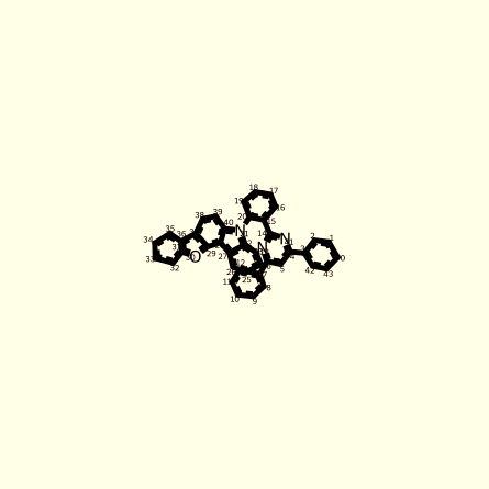 c1ccc(-c2cc(-c3ccccc3)nc(-c3ccccc3-n3c4ccccc4c4c5oc6ccccc6c5ccc43)n2)cc1